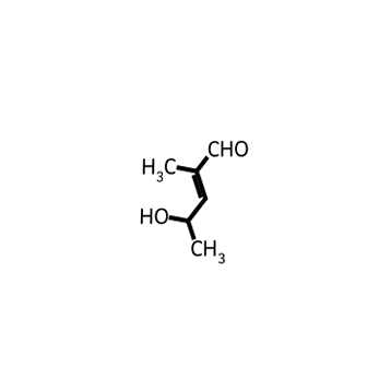 CC(C=O)=CC(C)O